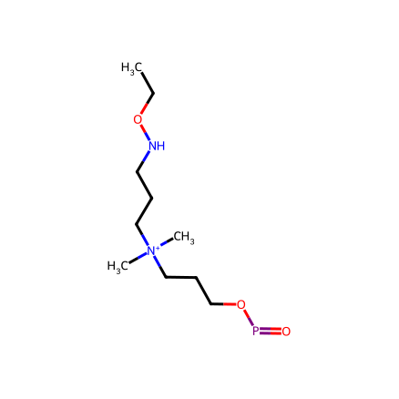 CCONCCC[N+](C)(C)CCCOP=O